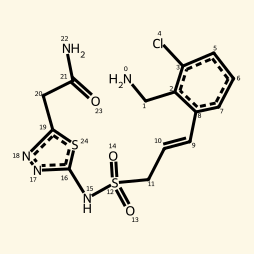 NCc1c(Cl)cccc1C=CCS(=O)(=O)Nc1nnc(CC(N)=O)s1